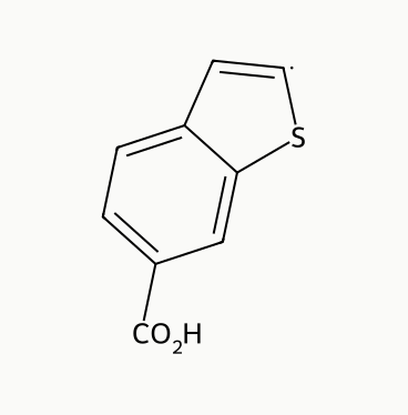 O=C(O)c1ccc2c[c]sc2c1